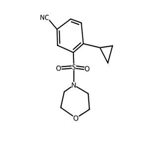 N#Cc1ccc(C2CC2)c(S(=O)(=O)N2CCOCC2)c1